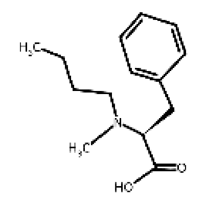 CCCCN(C)[C@@H](Cc1ccccc1)C(=O)O